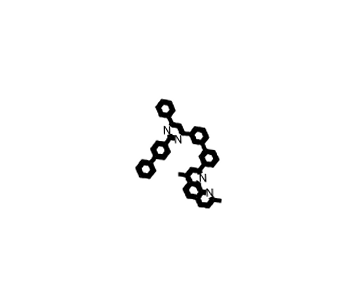 Cc1ccc2ccc3c(C)cc(-c4cccc(-c5cccc(-c6cc(-c7ccccc7)nc(-c7ccc(-c8ccccc8)cc7)n6)c5)c4)nc3c2n1